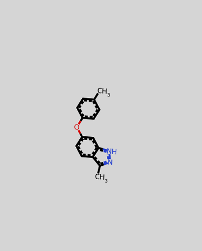 Cc1ccc(Oc2ccc3c(C)n[nH]c3c2)cc1